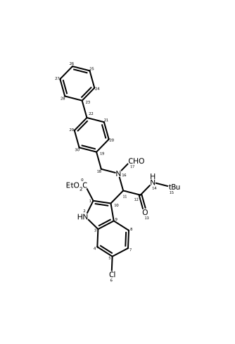 CCOC(=O)c1[nH]c2cc(Cl)ccc2c1C(C(=O)NC(C)(C)C)N(C=O)Cc1ccc(-c2ccccc2)cc1